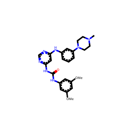 COc1cc(NC(=O)Nc2cc(Nc3cccc(N4CCN(C)CC4)c3)ncn2)cc(OC)c1